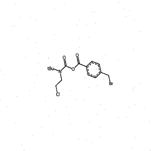 CC(C)(C)N(CCCl)C(=O)OC(=O)c1ccc(CBr)cc1